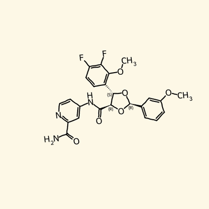 COc1cccc([C@H]2O[C@@H](C(=O)Nc3ccnc(C(N)=O)c3)[C@H](c3ccc(F)c(F)c3OC)O2)c1